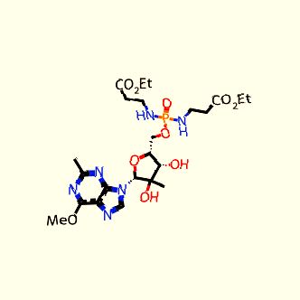 CCOC(=O)CCNP(=O)(NCCC(=O)OCC)OC[C@H]1O[C@@H](n2cnc3c(OC)nc(C)nc32)C(C)(O)[C@H]1O